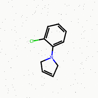 Clc1c[c]ccc1N1CC=CC1